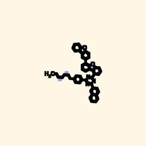 C=C/C=C\C=C/Cc1ccc(-c2nc(-c3ccc4ccccc4c3)nc(-c3cccc4oc5c(-c6ccc7oc8ccccc8c7c6)cccc5c34)n2)cc1